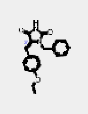 CCOc1ccc(/C=C2/C(=O)NC(=O)N2Cc2ccccc2)cc1